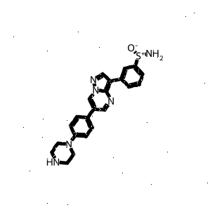 N[S+]([O-])c1cccc(-c2cnn3cc(-c4ccc(N5CCNCC5)cc4)cnc23)c1